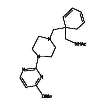 COc1ccnc(N2CCN(CC3(CNC(C)=O)C=CC=CC3)CC2)n1